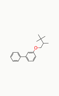 CC(COc1cccc(-c2ccccc2)c1)C(C)(C)C